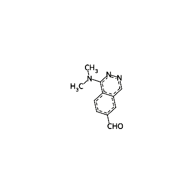 CN(C)c1nncc2cc(C=O)ccc12